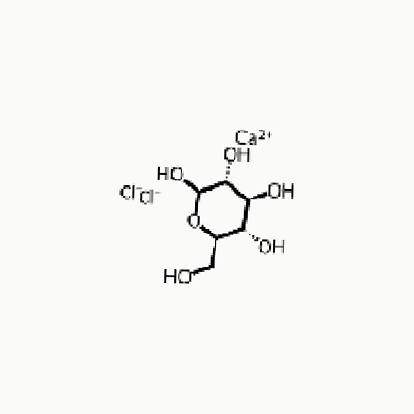 OC[C@H]1OC(O)[C@H](O)[C@@H](O)[C@@H]1O.[Ca+2].[Cl-].[Cl-]